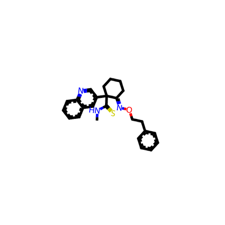 CNC(=S)C1(c2cnc3ccccc3c2)CCCCC1=NOCCc1ccccc1